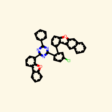 Clc1ccc(-c2nc(-c3ccccc3)nc(-c3cccc4c3oc3ccccc34)n2)c(-c2cccc3oc4cc5ccccc5cc4c23)c1